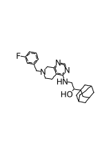 OC(CNc1ncnc2c1CCN(Cc1cccc(F)c1)C2)C12CC3CC(CC(C3)C1)C2